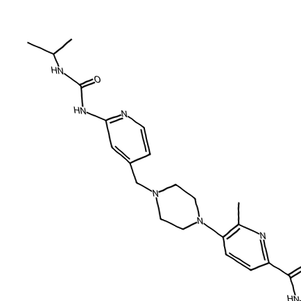 CNC(=O)c1ccc(N2CCN(Cc3ccnc(NC(=O)NC(C)C)c3)CC2)c(C)n1